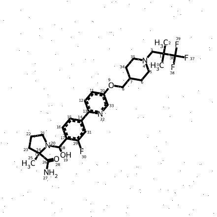 CC(C)(CN1CCC(COc2ccc(-c3ccc(C(O)N4CCC[C@@]4(C)C(N)=O)c(F)c3)nc2)CC1)C(F)(F)F